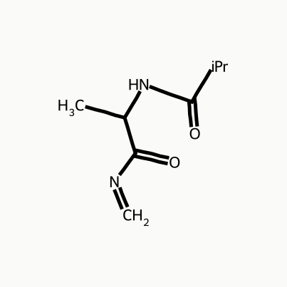 C=NC(=O)C(C)NC(=O)C(C)C